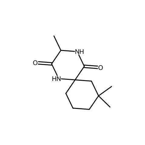 CC1NC(=O)C2(CCCC(C)(C)C2)NC1=O